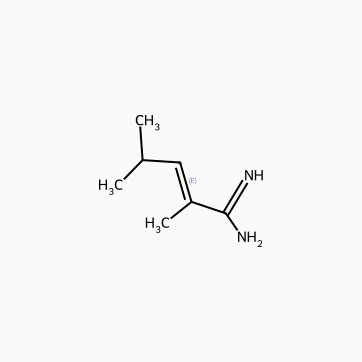 C/C(=C\C(C)C)C(=N)N